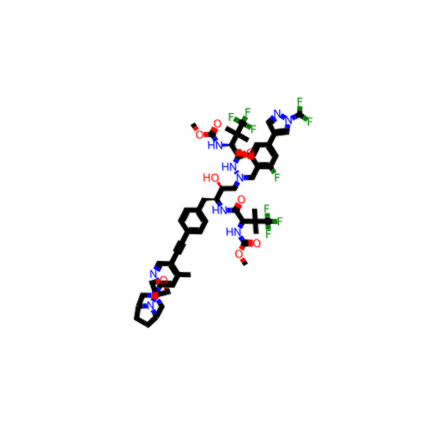 COC(=O)NC(C(=O)N[C@@H](Cc1ccc(C#Cc2cnc(N3CC4CCC(C3)N4C3COC3)cc2C)cc1)[C@@H](O)CN(Cc1c(F)cc(-c2cnn(C(F)F)c2)cc1F)NC(=O)[C@@H](NC(=O)OC)C(C)(C)C(F)(F)F)C(C)(C)C(F)(F)F